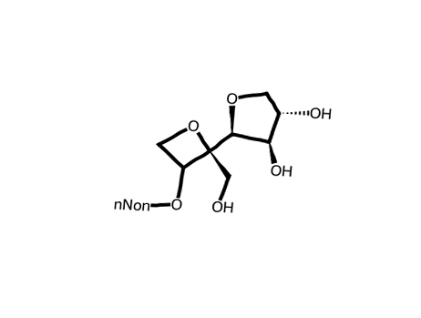 CCCCCCCCCOC1CO[C@]1(CO)[C@H]1OC[C@H](O)[C@H]1O